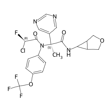 C[C@@](C(=O)NC1C2COCC21)(c1cncnc1)N(C(=O)[C@H](F)Cl)c1ccc(OC(F)(F)F)cc1